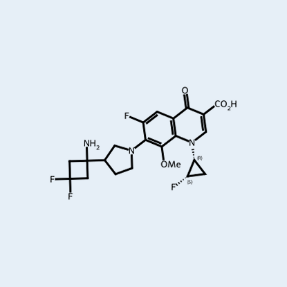 COc1c(N2CCC(C3(N)CC(F)(F)C3)C2)c(F)cc2c(=O)c(C(=O)O)cn([C@@H]3C[C@@H]3F)c12